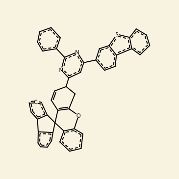 C1=CC(c2cc(-c3ccc4c(c3)sc3ccccc34)nc(-c3ccccc3)n2)CC2=C1C1(c3ccccc3O2)c2ccccc2-c2ccccc21